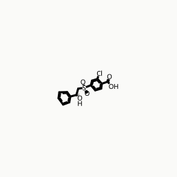 O=C(O)c1ccc(S(=O)(=O)C[C@@H](O)c2ccccc2)cc1Cl